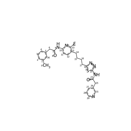 Cc1cccc(CC(=O)Nc2ccc(CCCCc3nnc(NC(=O)Cc4cccnc4)s3)c(F)n2)c1